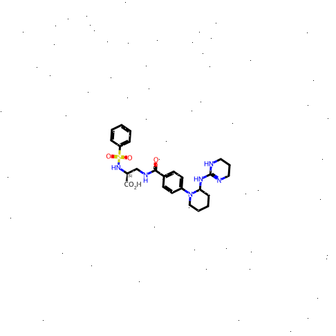 O=C(NC[C@H](NS(=O)(=O)c1ccccc1)C(=O)O)c1ccc(N2CCCCC2NC2=NCCCN2)cc1